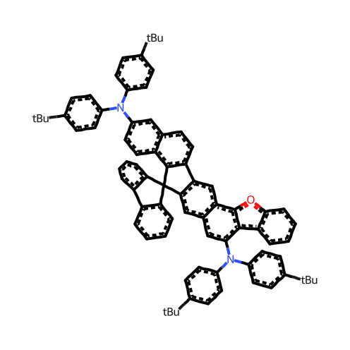 CC(C)(C)c1ccc(N(c2ccc(C(C)(C)C)cc2)c2ccc3c4c(ccc3c2)-c2cc3c(cc2C42c4ccccc4-c4ccccc42)cc(N(c2ccc(C(C)(C)C)cc2)c2ccc(C(C)(C)C)cc2)c2c4ccccc4oc32)cc1